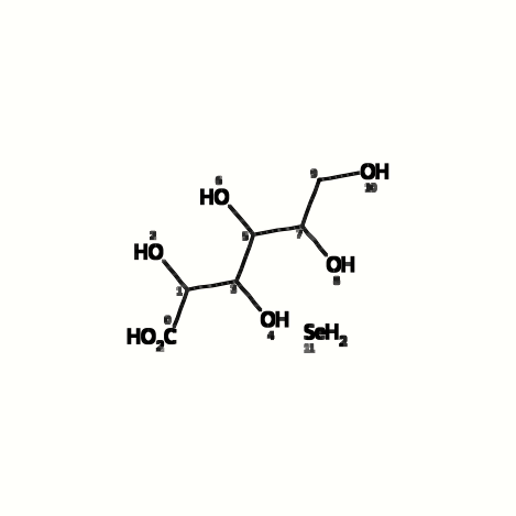 O=C(O)C(O)C(O)C(O)C(O)CO.[SeH2]